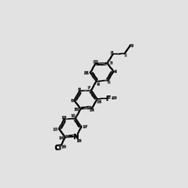 CCCc1ccc(-c2ccc(-c3ccc(Cl)nc3)cc2F)cc1